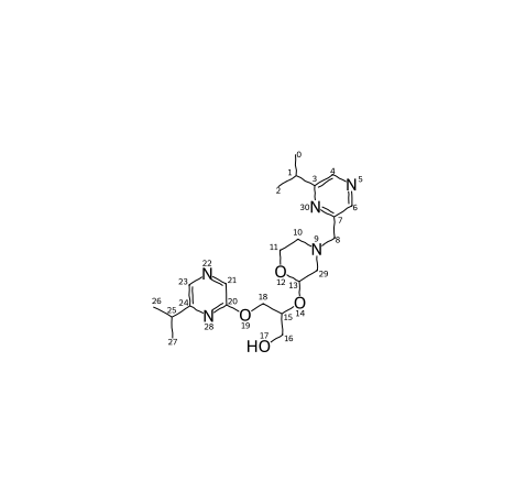 CC(C)c1cncc(CN2CCOC(OC(CO)COc3cncc(C(C)C)n3)C2)n1